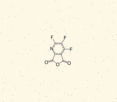 O=C1OC(=O)c2c1nc(F)c(F)c2F